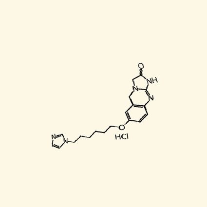 Cl.O=C1CN2Cc3cc(OCCCCCCn4ccnc4)ccc3N=C2N1